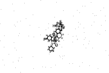 O=C(Cc1cccnc1)NC[C@@H]1CCc2cc(C(O)(C(F)(F)F)C(F)(F)F)ccc2N1S(=O)(=O)c1ccc(F)cc1